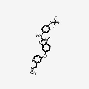 Cn1c(Nc2ccc(SC(F)(F)F)cc2)nc2cc(Oc3ccnc(/C=N/O)c3)ccc21